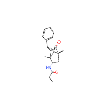 CCC(=O)NC1CC2(C)C(=O)C(=Cc3ccccc3)C1(C)C2(C)C